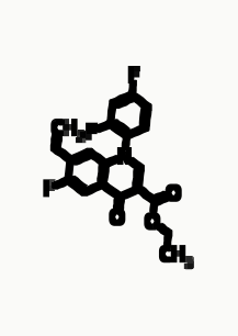 C=Cc1cc2c(cc1F)c(=O)c(C(=O)OCC)cn2-c1ccc(F)cc1F